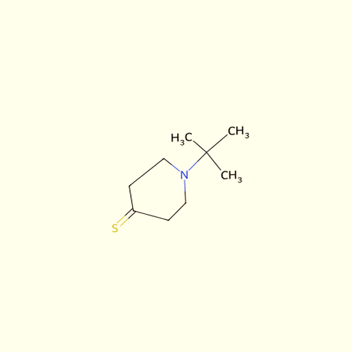 CC(C)(C)N1CCC(=S)CC1